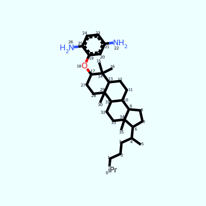 CC(C)CCCC(C)C1CCC2C3CCC4C(C)(C)C(Oc5cc(N)ccc5N)CCC4(C)C3CCC12C